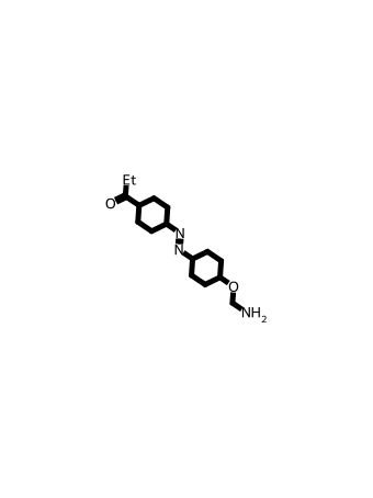 CCC(=O)C1CCC(N=NC2CCC(OCN)CC2)CC1